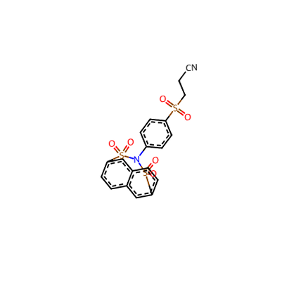 N#CCCS(=O)(=O)c1ccc(N2S(=O)(=O)c3ccc4cc(ccc4c3)S2(=O)=O)cc1